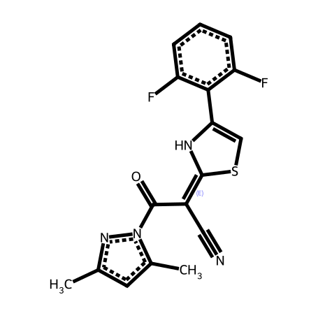 Cc1cc(C)n(C(=O)/C(C#N)=C2\NC(c3c(F)cccc3F)=CS2)n1